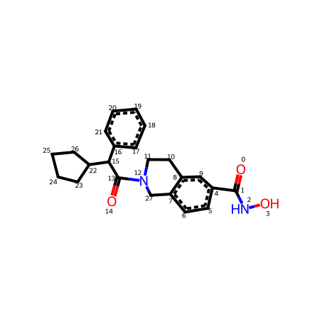 O=C(NO)c1ccc2c(c1)CCN(C(=O)C(c1ccccc1)C1CCCC1)C2